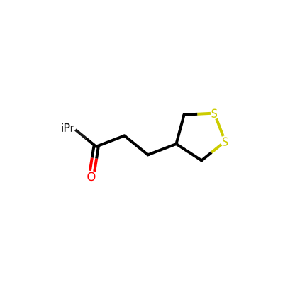 CC(C)C(=O)CCC1CSSC1